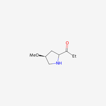 CCC(=O)C1C[C@H](OC)CN1